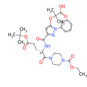 CCOC(=O)N1CCN(C(=O)[C@H](CCC(=O)OC(C)(C)C)NC(=O)c2cc(OC(C)(C)C(=O)O)n(-c3ccccc3)n2)CC1